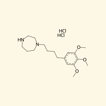 COc1cc(CCCCN2CCCNCC2)cc(OC)c1OC.Cl.Cl